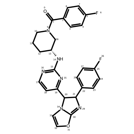 O=C(c1ccc(F)cc1)N1CCC[C@@H](Nc2nccc(C3C(c4ccc(F)cc4)N=C4OC=CN43)n2)C1